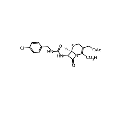 CC(=O)OCC1=C(C(=O)O)N2C(=O)[C@@H](NC(=O)NCc3ccc(Cl)cc3)[C@H]2SC1